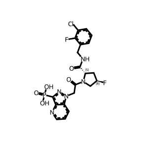 O=C(NCc1cccc(Cl)c1F)[C@@H]1C[C@@H](F)CN1C(=O)Cn1nc(P(=O)(O)O)c2ncccc21